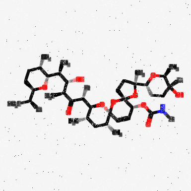 CCNC(=O)O[C@@H]1C=C[C@]2(O[C@H]([C@@H](CC)C(=O)[C@@H](C)[C@@H](O)[C@H](C)[C@@H]3O[C@@H]([C@@H](CC)C(=O)O)CC[C@@H]3C)[C@@H](C)C[C@H]2C)O[C@@]12CC[C@@](C)([C@H]1CC[C@](O)(CC)[C@H](C)O1)O2